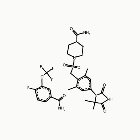 Cc1cc(N2C(=O)NC(=O)C2(C)C)cc(C)c1CS(=O)(=O)N1CCC(C(N)=O)CC1.NC(=O)c1ccc(F)c(OC(F)(F)F)c1